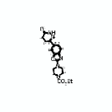 CCOC(=O)N1CCN(c2nc3ccc(C4=NNC(=O)CC4)cc3o2)CC1